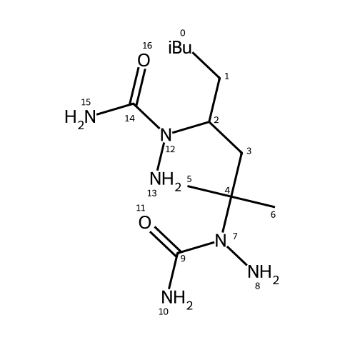 CCC(C)CC(CC(C)(C)N(N)C(N)=O)N(N)C(N)=O